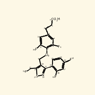 O=C(O)CCc1cc(F)c(OCc2c(-c3ccc(F)cc3F)nsc2CF)c(F)c1